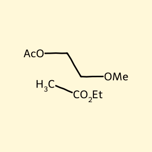 CCOC(C)=O.COCCOC(C)=O